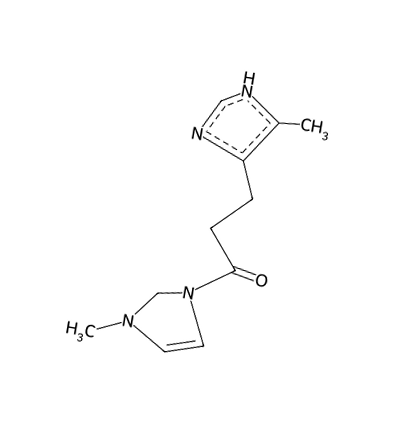 Cc1[nH]cnc1CCC(=O)N1C=CN(C)C1